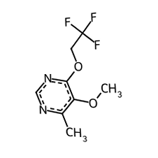 COc1c(C)ncnc1OCC(F)(F)F